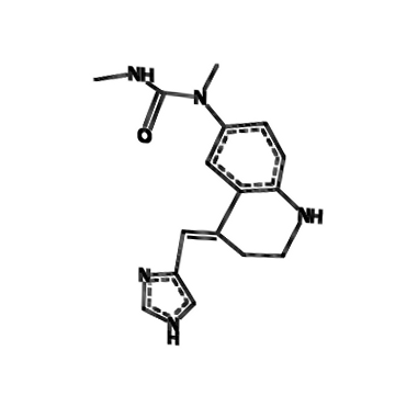 CNC(=O)N(C)c1ccc2c(c1)/C(=C/c1c[nH]cn1)CCN2